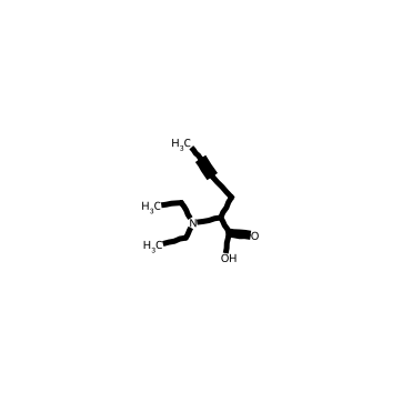 CC#CCC(C(=O)O)N(CC)CC